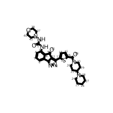 O=C(Nc1cccc2c1C(=O)C1=C(c3ccc(C(=O)N4CCC(N5CCCCC5)CC4)s3)N=NC12)NN1CCOCC1